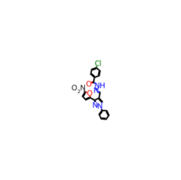 O=C(N/N=C/c1cn(-c2ccccc2)nc1-c1ccc([N+](=O)[O-])o1)c1ccc(Cl)cc1